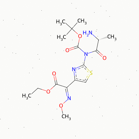 CCOC(=O)C(=NOC)c1csc(N(C(=O)OC(C)(C)C)C(=O)[C@@H](C)N)n1